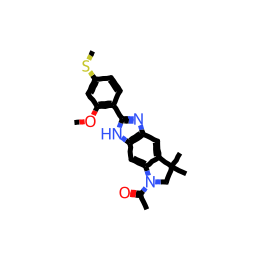 COc1cc(SC)ccc1-c1nc2cc3c(cc2[nH]1)N(C(C)=O)CC3(C)C